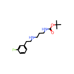 CC(C)(C)OC(=O)NCCCNCCc1cccc(F)c1